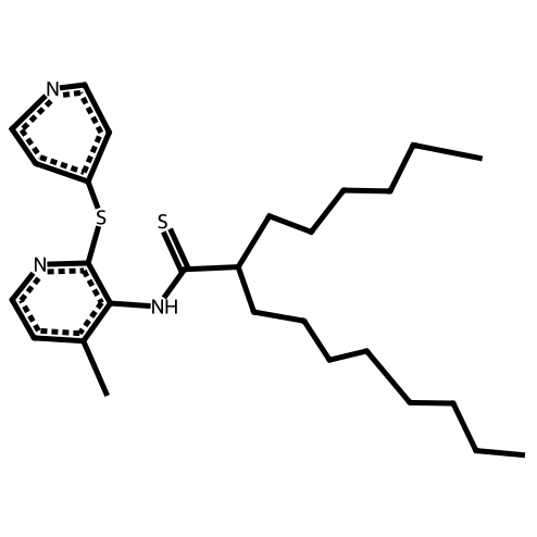 CCCCCCCCC(CCCCCC)C(=S)Nc1c(C)ccnc1Sc1ccncc1